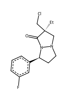 CC[C@]1(CCl)CN2CC[C@@H](c3cccc(F)c3)N2C1=O